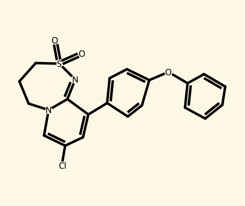 O=S1(=O)CCCN2C=C(Cl)C=C(c3ccc(Oc4ccccc4)cc3)C2=N1